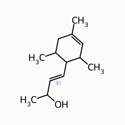 CC1=CC(C)C(/C=C/C(C)O)C(C)C1